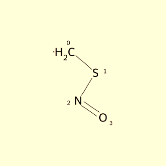 [CH2]SN=O